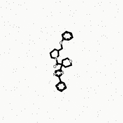 O=C(N1CCCC(COc2ccccc2)C1)C1(c2cnc(-c3ccccc3)s2)CCOCC1